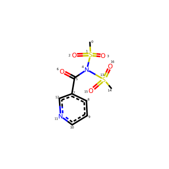 CS(=O)(=O)N(C(=O)c1cccnc1)S(C)(=O)=O